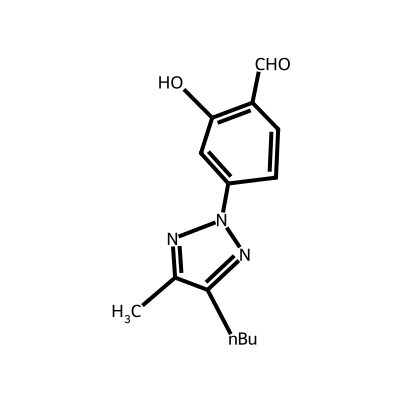 CCCCc1nn(-c2ccc(C=O)c(O)c2)nc1C